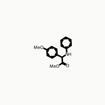 COC(=O)C(Nc1ccccc1)c1ccc(OC)cc1